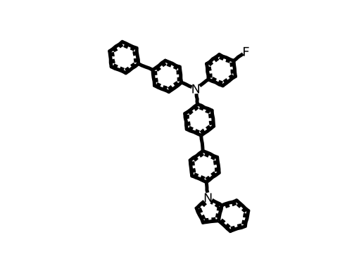 Fc1ccc(N(c2ccc(-c3ccccc3)cc2)c2ccc(-c3ccc(-n4ccc5ccccc54)cc3)cc2)cc1